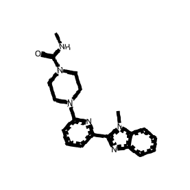 CNC(=O)N1CCN(c2cccc(-c3nc4ccccc4n3C)n2)CC1